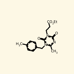 CCOC(=O)CCn1c(=O)nc(C)n(Cc2ccc(C)cc2)c1=O